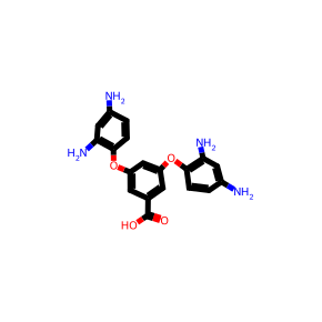 Nc1ccc(Oc2cc(Oc3ccc(N)cc3N)cc(C(=O)O)c2)c(N)c1